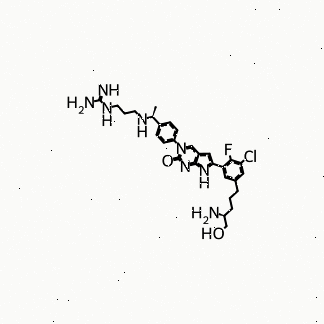 C[C@H](NCCCNC(=N)N)c1ccc(-n2cc3cc(-c4cc(CCC[C@H](N)CO)cc(Cl)c4F)[nH]c3nc2=O)cc1